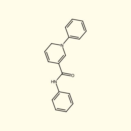 O=C(Nc1ccccc1)C1=CN(c2ccccc2)CC=C1